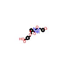 COc1cccc(CNC(=O)c2nc3cccc(COCc4ccc(C(=O)O)cc4)c3c(=O)[nH]2)c1